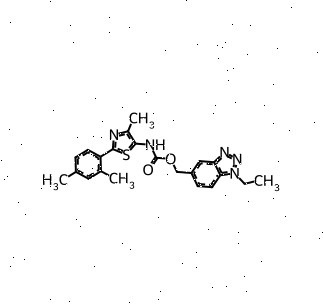 CCn1nnc2cc(COC(=O)Nc3sc(-c4ccc(C)cc4C)nc3C)ccc21